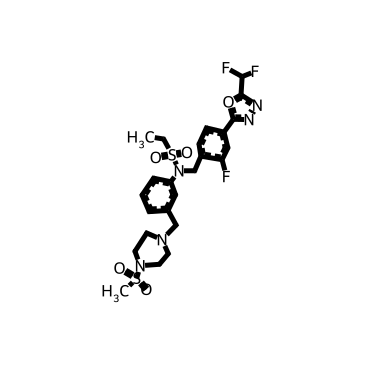 CCS(=O)(=O)N(Cc1ccc(-c2nnc(C(F)F)o2)cc1F)c1cccc(CN2CCN(S(C)(=O)=O)CC2)c1